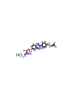 C[C@@H](COc1ccc2nc(-c3ccc(OCC4CC4)cc3)[nH]c2c1)NC(=O)O